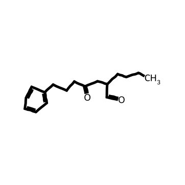 CCCCC(C=O)CC(=O)CCCc1ccccc1